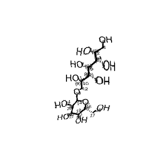 OC[C@@H](O)[C@H](O)[C@@H](O)[C@H](O)[C@H](O)COC1O[C@H](CO)[C@@H](O)[C@H](O)[C@H]1O